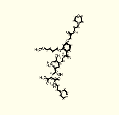 COCCCCOc1cc(OCC(=O)NCCN2CCOCC2)ccc1C(=O)NC[C@@H](C[C@H](N)[C@@H](O)C[C@H](C(=O)NCCN1CCOCC1)C(C)C)C(C)C